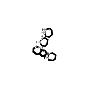 C1=Cc2ccccc2NN=C1.C1CCNNCC1.C1CCNNCC1.C1CCNNCC1